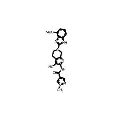 COc1cccc2[nH]c(N3CCc4c(sc(NC(=O)c5cnn(C)c5)c4C#N)C3)nc12